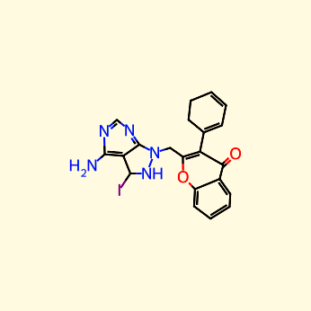 Nc1ncnc2c1C(I)NN2Cc1oc2ccccc2c(=O)c1C1=CC=CCC1